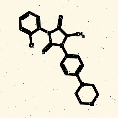 CC1C(=O)N(c2ccccc2Cl)C(=S)N1c1ccc(N2CCOCC2)cc1